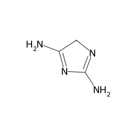 NC1=NC(N)=NC1